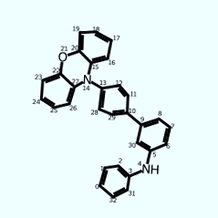 c1ccc(Nc2cccc(-c3ccc(N4c5ccccc5Oc5ccccc54)cc3)c2)cc1